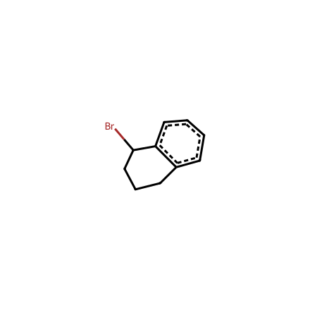 BrC1CCCc2ccccc21